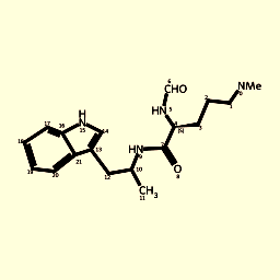 CNCCC[C@H](NC=O)C(=O)NC(C)Cc1c[nH]c2ccccc12